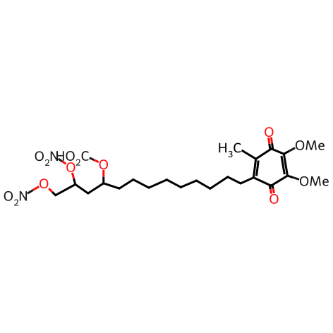 COC1=C(OC)C(=O)C(CCCCCCCCCC(CC(CO[N+](=O)[O-])O[N+](=O)[O-])OC(=O)O)=C(C)C1=O